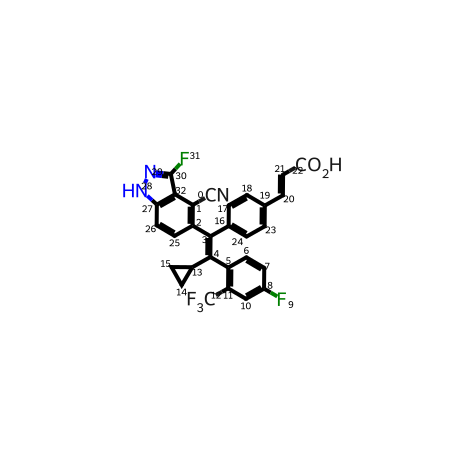 N#Cc1c(C(=C(c2ccc(F)cc2C(F)(F)F)C2CC2)c2ccc(C=CC(=O)O)cc2)ccc2[nH]nc(F)c12